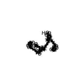 CN(OCCCCCC(=O)ON1C(=O)CCC1=O)C(=O)c1cc2c([n+](CCCS(=O)(=O)O)c1)N=C(/C=C/C=C/C=C1/N(CCCCCC(=O)ON3C(=O)CCC3=O)c3ccc(S(=O)(=O)O)cc3C1(C)C)C2(C)C